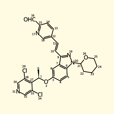 C[C@@H](Oc1ccc2c(c1)c(/C=C/c1ccc(C=O)nc1)nn2C1CCCCO1)c1c(Cl)cncc1Cl